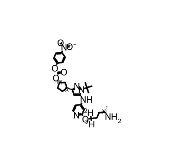 [2H]C([2H])(CC[C@H](C)N)Oc1cc(Nc2cc([C@H]3CC[C@@H](OC(=O)Oc4ccc([N+](=O)[O-])cc4)C3)nn2C(C)(C)C)ccn1